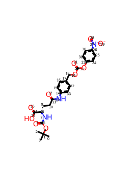 CC(C)(C)OC(=O)N[C@@H](CCC(=O)Nc1ccc(COC(=O)Oc2ccc([N+](=O)[O-])cc2)cc1)C(=O)O